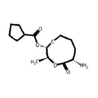 C[C@@H]1OC(=O)[C@@H](N)CCCC[C@H]1OC(=O)C1CCCC1